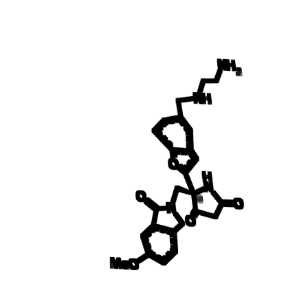 COc1ccc2c(c1)C(=O)N(C[C@@]1(c3cc4cc(CNCCN)ccc4o3)NC(=O)CC1=O)C2